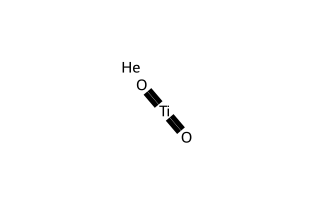 [He].[O]=[Ti]=[O]